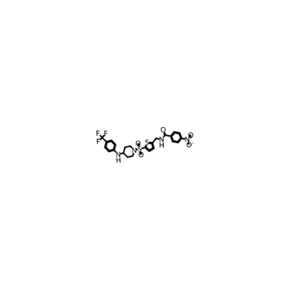 O=C(NCc1ccc(S(=O)(=O)N2CCC(Nc3ccc(C(F)(F)F)cc3)CC2)s1)c1ccc([N+](=O)[O-])cc1